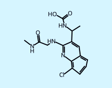 CNC(=O)CNc1nc2c(Cl)cccc2cc1C(C)NC(=O)O